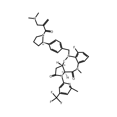 C=C(CN(C)C)C(=O)N1CCC[C@@H]1c1ccc(CN2C[C@H]3CC(=O)N(c4cc(C(F)(F)F)cc(C)n4)[C@@H]3C(=O)N(C)c3cccc(F)c32)cc1